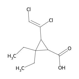 CCC1(CC)C(C(=O)O)C1/C(Cl)=C/Cl